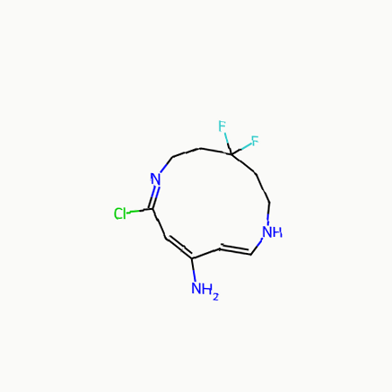 NC1=C/C(Cl)=N\CCC(F)(F)CCN\C=C\1